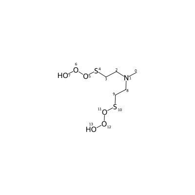 CN(CCSOOO)CCSOOO